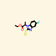 CCOC(=O)C(C)n1c(S)nc2cc(F)ccc21